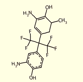 CC1CC(C(c2ccc(O)c(N)c2)(C(F)(F)F)C(F)(F)F)=CC(N)=C1O